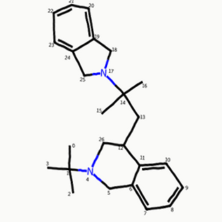 CC(C)(C)N1Cc2ccccc2C(CC(C)(C)N2Cc3ccccc3C2)C1